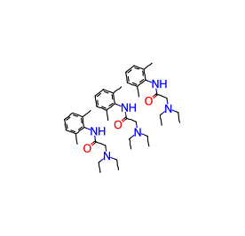 CCN(CC)CC(=O)Nc1c(C)cccc1C.CCN(CC)CC(=O)Nc1c(C)cccc1C.CCN(CC)CC(=O)Nc1c(C)cccc1C